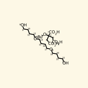 CCCCOC(CC(=O)O)(CC(=O)O)C(=O)O.OCCCCOCCCCOCCCCO